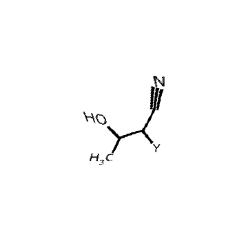 CC(O)[CH]([Y])C#N